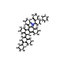 C1=c2c(-c3ccccc3)ccc(-n3c4ccccc4c4c5c6ccccc6c(-c6ccc(-c7ccccc7)c7ccccc67)cc5c5ccccc5c43)c2=CCC1